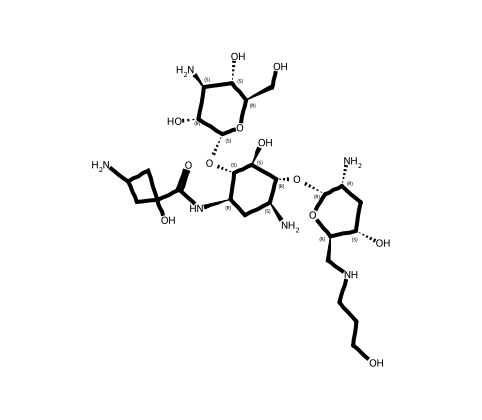 NC1CC(O)(C(=O)N[C@@H]2C[C@H](N)[C@@H](O[C@H]3O[C@H](CNCCCO)[C@@H](O)C[C@H]3N)[C@H](O)[C@H]2O[C@H]2O[C@H](CO)[C@@H](O)[C@H](N)[C@H]2O)C1